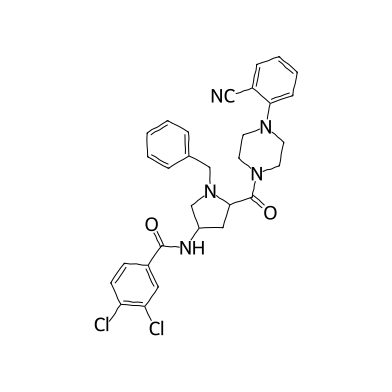 N#Cc1ccccc1N1CCN(C(=O)C2CC(NC(=O)c3ccc(Cl)c(Cl)c3)CN2Cc2ccccc2)CC1